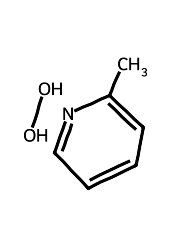 Cc1ccccn1.OO